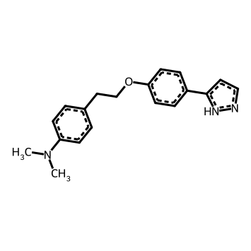 CN(C)c1ccc(CCOc2ccc(-c3ccn[nH]3)cc2)cc1